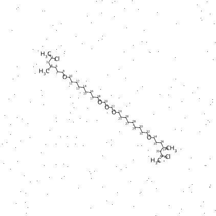 CC(Cl)CC(C)CCCOCCCCCCCCCOCOCOCCCCCCCCCOCCCC(C)CC(C)Cl